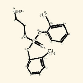 CCCCCCCCCCCCOP(=O)(Oc1ccccc1C)Oc1ccccc1C